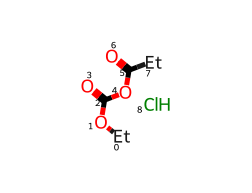 CCOC(=O)OC(=O)CC.Cl